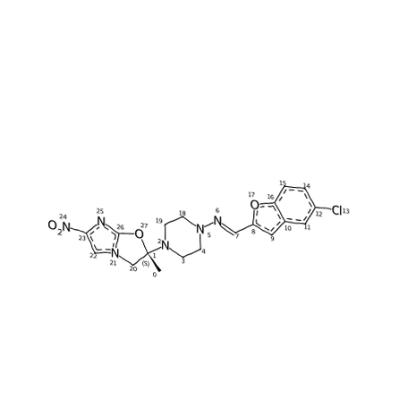 C[C@@]1(N2CCN(N=Cc3cc4cc(Cl)ccc4o3)CC2)Cn2cc([N+](=O)[O-])nc2O1